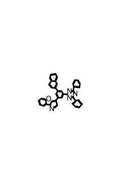 c1ccc(-c2nc(-c3ccccc3)nc(-c3cc(-c4ccc5ccccc5c4)cc(-c4ccnc5c4oc4ccccc45)c3)n2)cc1